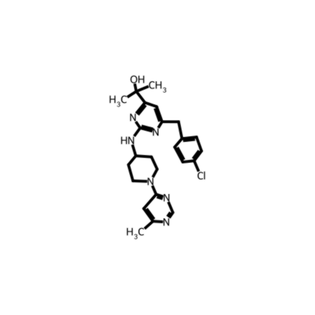 Cc1cc(N2CCC(Nc3nc(Cc4ccc(Cl)cc4)cc(C(C)(C)O)n3)CC2)ncn1